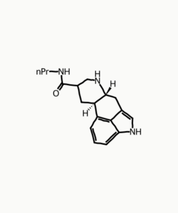 CCCNC(=O)C1CN[C@@H]2Cc3c[nH]c4cccc(c34)[C@H]2C1